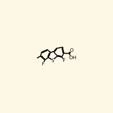 Cc1ccc2c(sc3c(F)c(C(=O)O)ccc32)c1F